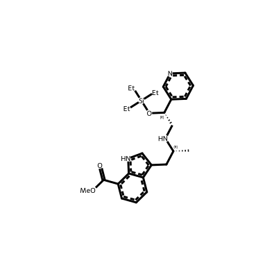 CC[Si](CC)(CC)O[C@@H](CN[C@H](C)Cc1c[nH]c2c(C(=O)OC)cccc12)c1cccnc1